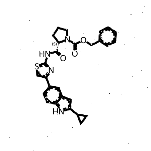 O=C(Nc1nc(-c2ccc3[nH]c(C4CC4)cc3c2)cs1)[C@@H]1CCCN1C(=O)OCc1ccccc1